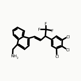 NCc1ccc(/C=C/C(c2cc(Cl)c(Cl)c(Cl)c2)C(F)(F)F)c2ccccc12